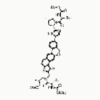 CC[C@H](C)[C@H](NC(=O)OC)C(=O)N1C[C@@H](C)C[C@H]1c1ncc(-c2ccc3c(c2)COc2cc4c(ccc5nc(CN(C[C@H](C)COC)C(=O)[C@@H](NC(=O)OC)C(C)C)[nH]c54)cc2-3)[nH]1